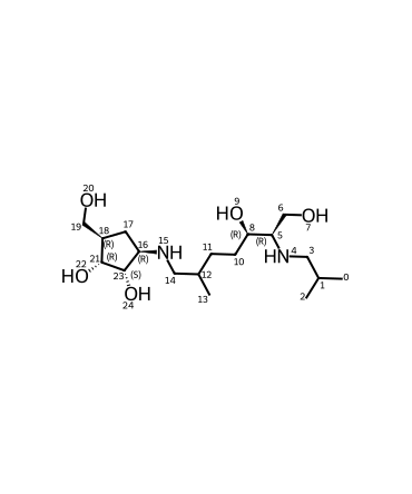 CC(C)CN[C@H](CO)[C@H](O)CCC(C)CN[C@@H]1C[C@H](CO)[C@@H](O)[C@H]1O